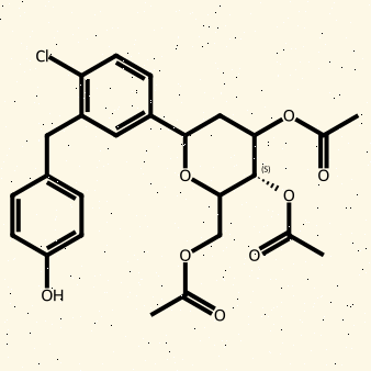 CC(=O)OCC1OC(c2ccc(Cl)c(Cc3ccc(O)cc3)c2)CC(OC(C)=O)[C@@H]1OC(C)=O